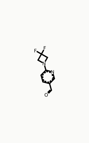 O=Cc1ccc(N2CC(F)(F)C2)nc1